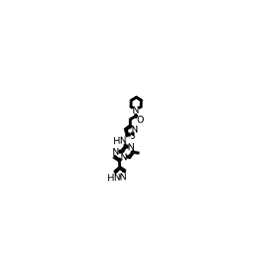 Cc1cn2c(-c3cn[nH]c3)cnc2c(Nc2cc(CC(=O)N3CCCCC3)ns2)n1